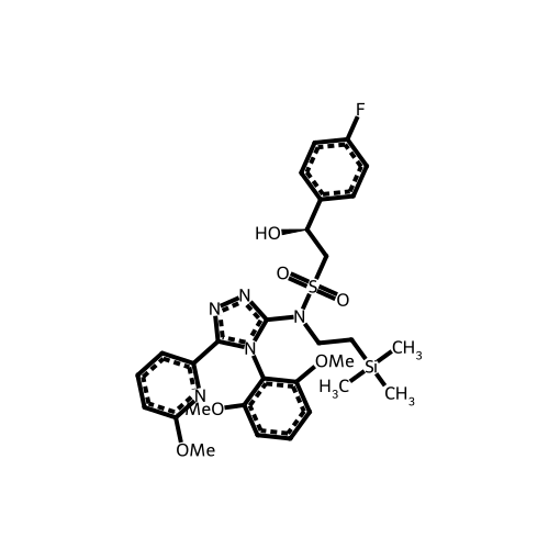 COc1cccc(-c2nnc(N(CC[Si](C)(C)C)S(=O)(=O)C[C@@H](O)c3ccc(F)cc3)n2-c2c(OC)cccc2OC)n1